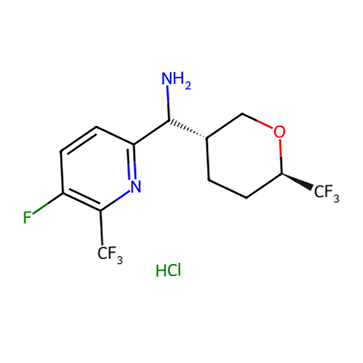 Cl.NC(c1ccc(F)c(C(F)(F)F)n1)[C@H]1CC[C@H](C(F)(F)F)OC1